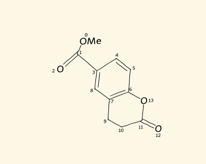 COC(=O)c1ccc2c(c1)CCC(=O)O2